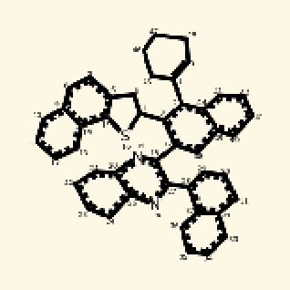 C1=C(c2c(C3Cc4ccc5ccccc5c4S3)c(-c3nc4ccccc4nc3-c3cccc4ccccc34)cc3ccccc23)CCCC1